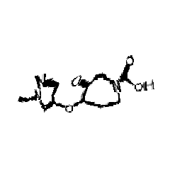 Cn1cc(OC2CCN(C(=O)O)CC2=O)cn1